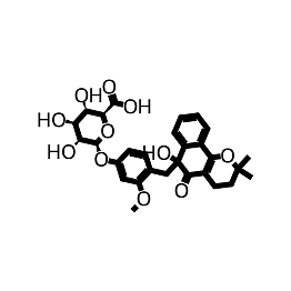 COc1cc(O[C@@H]2O[C@H](C(=O)O)[C@@H](O)[C@H](O)[C@H]2O)ccc1CC1(O)C(=O)C2=C(OC(C)(C)CC2)c2ccccc21